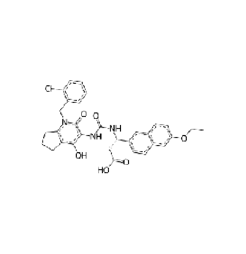 CCOc1ccc2cc([C@H](CC(=O)O)NC(=O)Nc3c(O)c4c(n(Cc5ccccc5Cl)c3=O)CCC4)ccc2c1